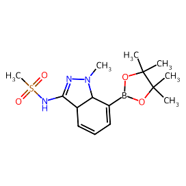 CN1N=C(NS(C)(=O)=O)C2C=CC=C(B3OC(C)(C)C(C)(C)O3)C21